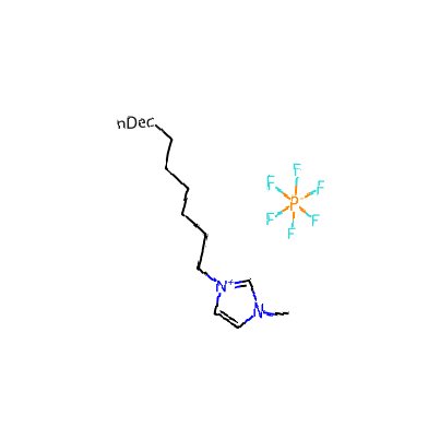 CCCCCCCCCCCCCCCC[n+]1ccn(C)c1.F[P-](F)(F)(F)(F)F